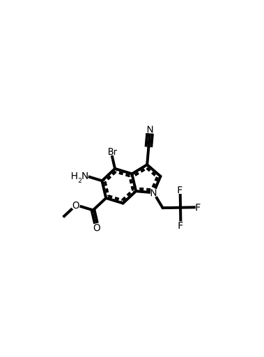 COC(=O)c1cc2c(c(C#N)cn2CC(F)(F)F)c(Br)c1N